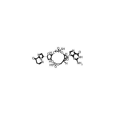 Nc1nc2c(ncn2[C@@H]2O[C@@H]3COP(=O)(S)O[C@H]4C[C@H](c5cnc6n5N=CCC6=O)O[C@@H]4COP(=O)(S)O[C@@H]2[C@@H]3F)c(=O)[nH]1